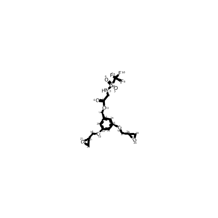 O=C(CNS(=O)(=O)C(F)(F)F)OCc1cc(OCC2CO2)cc(OCC2CO2)c1